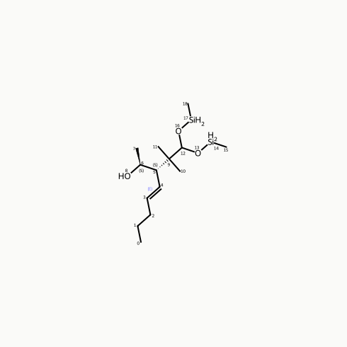 CCC/C=C/[C@H]([C@H](C)O)C(C)(C)C(O[SiH2]C)O[SiH2]C